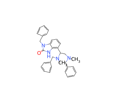 CN(Cc1ccccc1)CC(c1cccc2c1[nH]c(=O)n2Cc1ccccc1)N(C)Cc1ccccc1